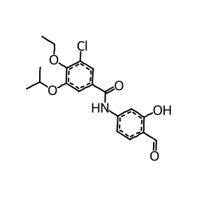 CCOc1c(Cl)cc(C(=O)Nc2ccc(C=O)c(O)c2)cc1OC(C)C